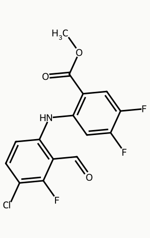 COC(=O)c1cc(F)c(F)cc1Nc1ccc(Cl)c(F)c1C=O